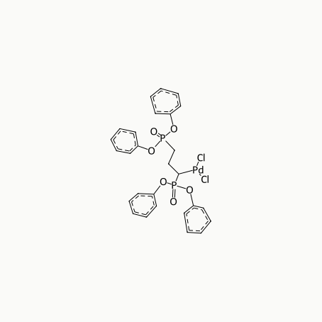 O=P(CC[CH]([Pd]([Cl])[Cl])P(=O)(Oc1ccccc1)Oc1ccccc1)(Oc1ccccc1)Oc1ccccc1